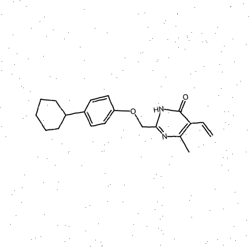 C=Cc1c(C)nc(COc2ccc(C3CCCCC3)cc2)[nH]c1=O